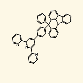 c1ccc(C2(c3ccc(-c4cc(-c5ccccn5)nc(-c5ccccn5)c4)cc3)c3ccccc3-n3c4ccccc4c4cccc2c43)cc1